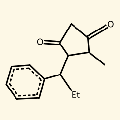 CCC(c1ccccc1)C1C(=O)CC(=O)C1C